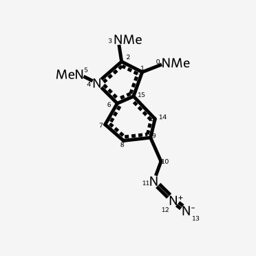 CNc1c(NC)n(NC)c2ccc(CN=[N+]=[N-])cc12